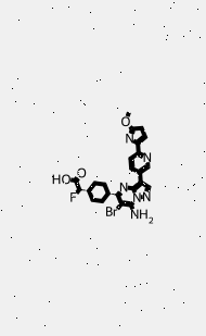 COC1=NC(c2ccc(-c3cnn4c(N)c(Br)c([C@H]5CC[C@@H](C(F)C(=O)O)CC5)nc34)cn2)=CC1